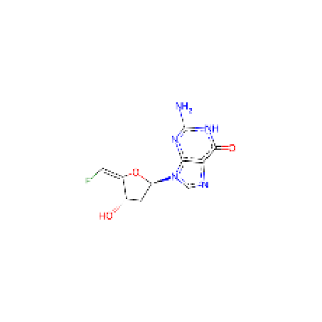 Nc1nc2c(ncn2[C@H]2C[C@H](O)/C(=C\F)O2)c(=O)[nH]1